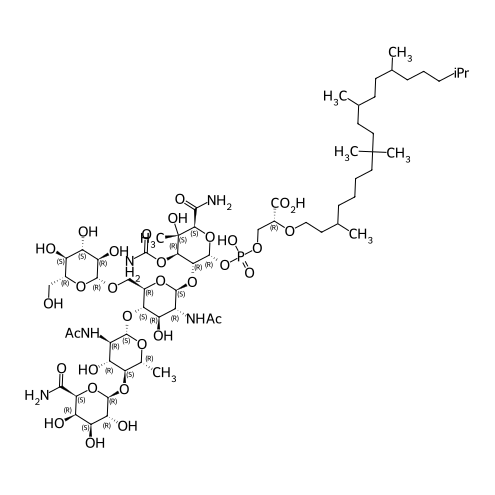 CC(=O)N[C@H]1[C@H](O[C@H]2[C@H](O)[C@@H](NC(C)=O)[C@H](O[C@H]3[C@@H](OP(=O)(O)OC[C@@H](OCCC(C)CCCCC(C)(C)CCC(C)CCC(C)CCCC(C)C)C(=O)O)O[C@H](C(N)=O)[C@@](C)(O)[C@@H]3OC(N)=O)O[C@@H]2CO[C@@H]2O[C@H](CO)[C@@H](O)[C@H](O)[C@H]2O)O[C@H](C)[C@@H](O[C@@H]2O[C@H](C(N)=O)[C@H](O)[C@H](O)[C@H]2O)[C@@H]1O